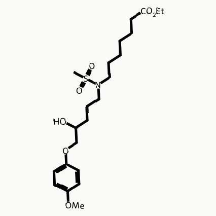 CCOC(=O)CCCCCCN(CCCC(O)COc1ccc(OC)cc1)S(C)(=O)=O